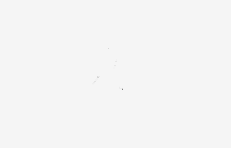 CC1(C)C=C(N2CCOCC2)C(=O)CC1